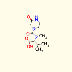 CC(C)C(C(=O)O)N(C)C(=O)N1CCNC(=O)C1